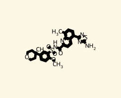 COc1ccc(C2(C)CCOCC2)cc1S(=O)(=O)NC(=O)c1ccc2c(-c3nsc(N)n3)ccc(C)c2n1